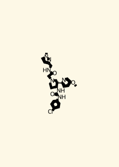 COc1ccc([C@@H]2CN(CC(=O)NCc3ccn(C)n3)CC[C@H]2NC(=O)Nc2ccc(Cl)cc2)nc1